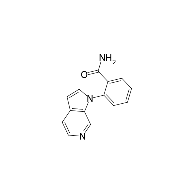 NC(=O)c1ccccc1-n1ccc2ccncc21